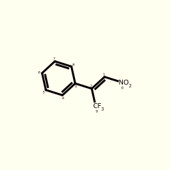 O=[N+]([O-])C=C(c1ccccc1)C(F)(F)F